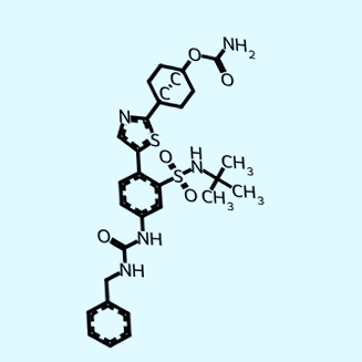 CC(C)(C)NS(=O)(=O)c1cc(NC(=O)NCc2ccccc2)ccc1-c1cnc(C23CCC(OC(N)=O)(CC2)CC3)s1